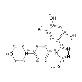 CSc1nnc(-c2cc(Br)c(O)cc2O)n1-c1ccc(N2CCOCC2)cc1